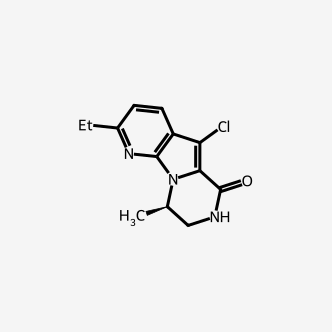 CCc1ccc2c(Cl)c3n(c2n1)[C@H](C)CNC3=O